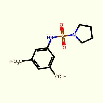 O=C(O)c1cc(NS(=O)(=O)N2CCCC2)cc(C(=O)O)c1